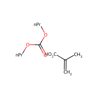 C=C(C)C(=O)O.CCCOC(=O)OCCC